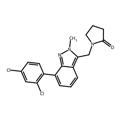 Cn1nc2c(-c3ccc(Cl)cc3Cl)cccc2c1CN1CCCC1=O